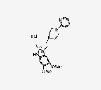 COc1cc2c(cc1OC)[C@H](CCN1CCN(c3ccccn3)CC1)[C@H](C)N2.Cl